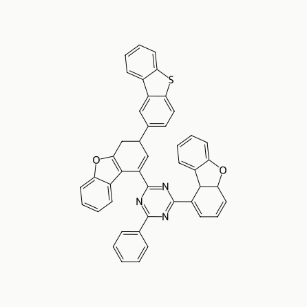 C1=CC2Oc3ccccc3C2C(c2nc(C3=CC(c4ccc5sc6ccccc6c5c4)Cc4oc5ccccc5c43)nc(-c3ccccc3)n2)=C1